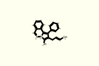 CC(C)c1c(CC=CO)c(-c2ccccc2)c2c3ccccc3cnn12